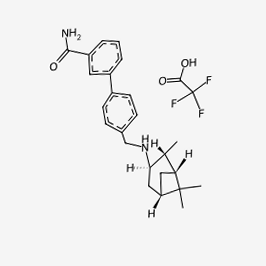 C[C@@H]1[C@H]2C[C@@H](C[C@H]1NCc1ccc(-c3cccc(C(N)=O)c3)cc1)C2(C)C.O=C(O)C(F)(F)F